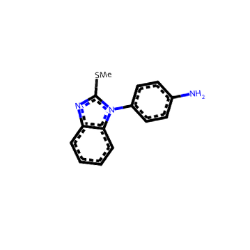 CSc1nc2ccccc2n1-c1ccc(N)cc1